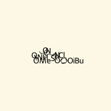 COC(=O)NC(C)c1cc(-c2cnc(Oc3ccc(OCC(C)C)cc3Cl)s2)no1